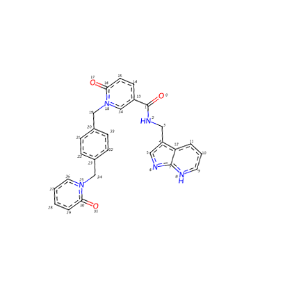 O=C(NCc1cnc2[nH]cccc1-2)c1ccc(=O)n(Cc2ccc(Cn3ccccc3=O)cc2)c1